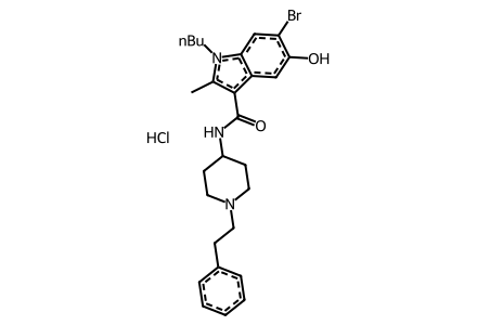 CCCCn1c(C)c(C(=O)NC2CCN(CCc3ccccc3)CC2)c2cc(O)c(Br)cc21.Cl